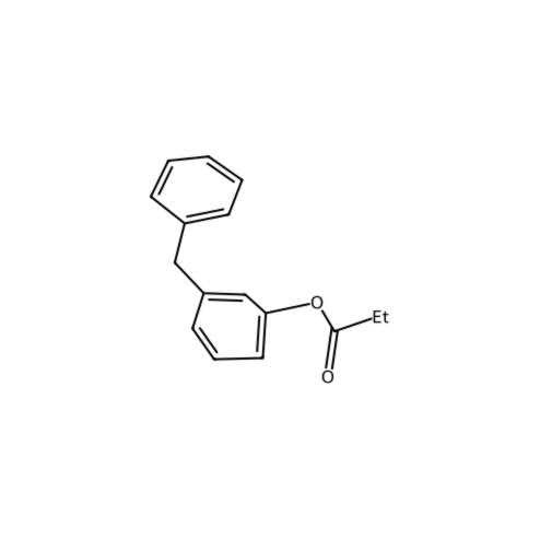 CCC(=O)Oc1cccc(Cc2ccccc2)c1